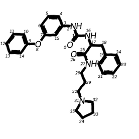 O=C(Nc1cccc(Oc2ccccc2)c1)NC(Cc1ccccc1)C(=O)NCCCN1CCCC1